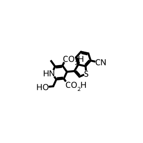 CC1=C(C(=O)O)C(c2csc3c(C#N)cccc23)C(C(=O)O)=C(CO)N1